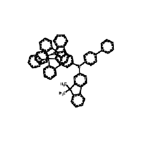 CC1(C)c2ccccc2-c2ccc(N(c3ccc(-c4ccccc4)cc3)c3cc(-c4ccccc4C4(c5ccccc5)c5ccccc5-c5ccccc54)c4c(c3)c3ccccc3n4-c3ccccc3)cc21